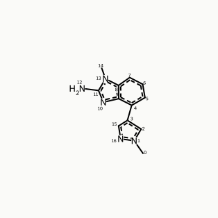 Cn1cc(-c2cccc3c2nc(N)n3C)cn1